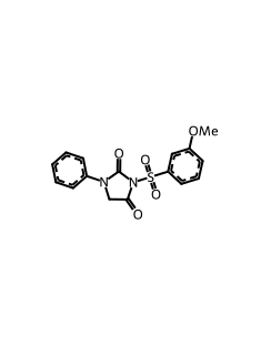 COc1cccc(S(=O)(=O)N2C(=O)CN(c3ccccc3)C2=O)c1